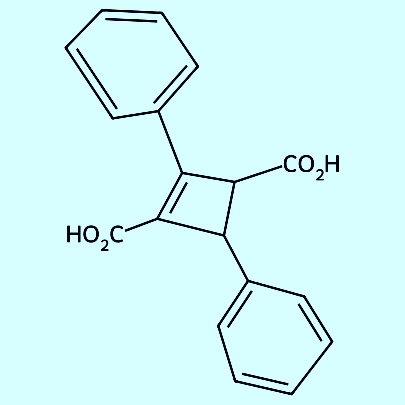 O=C(O)C1=C(c2ccccc2)C(C(=O)O)C1c1ccccc1